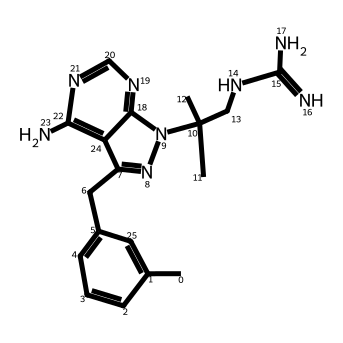 Cc1cccc(Cc2nn(C(C)(C)CNC(=N)N)c3ncnc(N)c23)c1